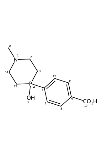 CN1CC[P](O)(c2ccc(C(=O)O)cc2)CC1